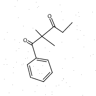 CCC(=O)C(C)(C)C(=O)c1ccccc1